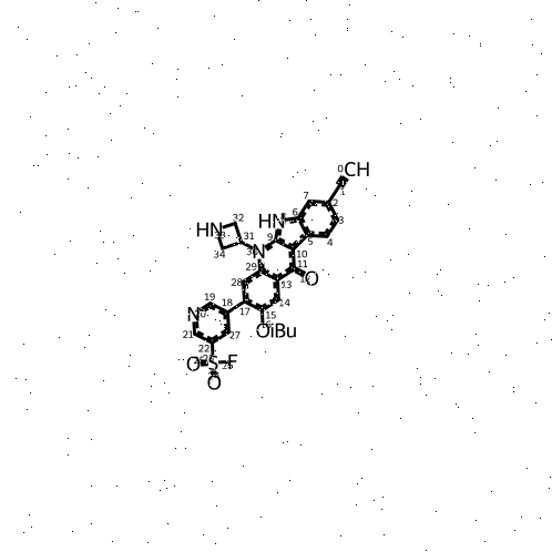 C#Cc1ccc2c(c1)[nH]c1c2c(=O)c2cc(OCC(C)C)c(-c3cncc(S(=O)(=O)F)c3)cc2n1C1CNC1